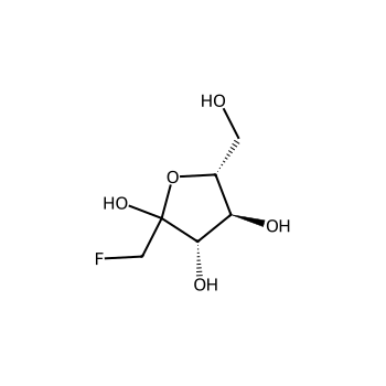 OC[C@H]1OC(O)(CF)[C@@H](O)[C@@H]1O